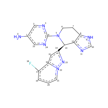 Nc1cnc(N2CCc3[nH]cnc3[C@H]2c2cc3c(F)cccn3n2)nc1